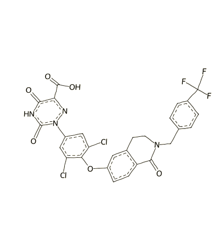 O=C(O)c1nn(-c2cc(Cl)c(Oc3ccc4c(c3)CCN(Cc3ccc(C(F)(F)F)cc3)C4=O)c(Cl)c2)c(=O)[nH]c1=O